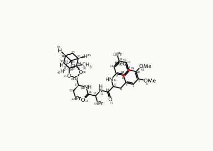 COc1cc(CC(Nc2cccc(C(C)C)c2)C(=O)NC(C(=O)N[C@@H](CC(C)C)B2O[C@H]3C[C@@H]4C[C@@H](C4(C)C)[C@]3(C)O2)C(C)C)cc(OC)c1OC